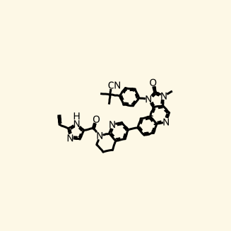 C=Cc1ncc(C(=O)N2CCCc3cc(-c4ccc5ncc6c(c5c4)n(-c4ccc(C(C)(C)C#N)cc4)c(=O)n6C)cnc32)[nH]1